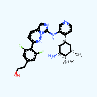 CC(=O)N[C@@H]1[C@H](N)C[C@H](c2ccncc2Nc2ncc3ccc(-c4c(F)cc(CCO)cc4F)nn23)C[C@@H]1C